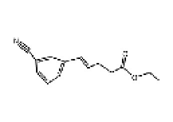 CCOC(=O)CC/C=C/c1cccc(C#N)c1